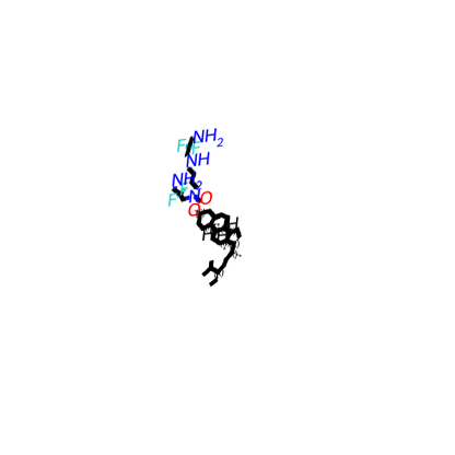 CC[C@H](CC[C@@H](C)[C@H]1CC[C@H]2[C@@H]3CC=C4C[C@@H](OC(=O)N(CCCCNCC(F)(F)CN)CC(F)(F)CN)CC[C@]4(C)[C@H]3CC[C@]12C)C(C)C